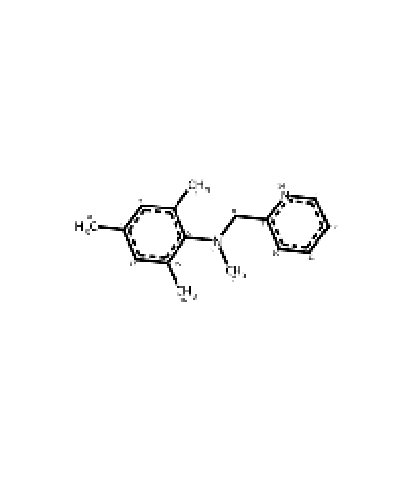 Cc1cc(C)c(N(C)Cc2ccccn2)c(C)c1